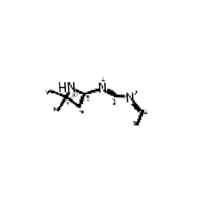 C/C=N\C=NC1CC(C)(C)N1